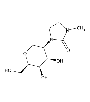 CN1CCN([C@@H]2CO[C@H](CO)[C@H](O)[C@@H]2O)C1=O